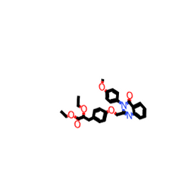 CCOC(=O)C(Cc1ccc(OCc2nc3ccccc3c(=O)n2-c2ccc(OC)cc2)cc1)OCC